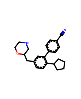 N#Cc1ccc(-c2cc(CC3CNCCO3)ccc2C2CCCC2)cc1